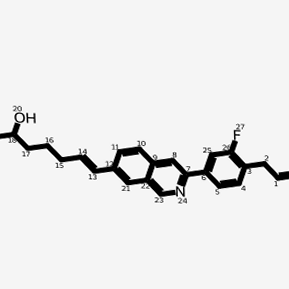 C=CCc1ccc(-c2cc3ccc(C=CCCCC(C)O)cc3cn2)cc1F